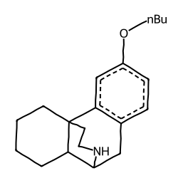 CCCCOc1ccc2c(c1)C13CCCCC1C(C2)NCC3